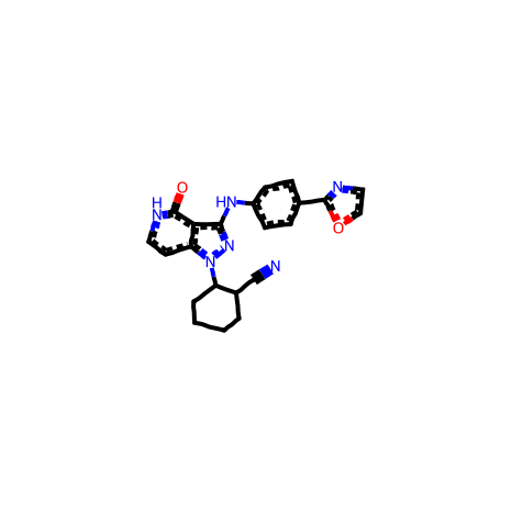 N#CC1CCCCC1n1nc(Nc2ccc(-c3ncco3)cc2)c2c(=O)[nH]ccc21